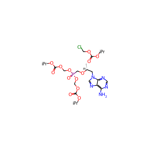 CC(C)OC(=O)OCCl.CC(C)OC(=O)OCOP(=O)(CO[C@H](C)Cn1cnc2c(N)ncnc21)OCOC(=O)OC(C)C